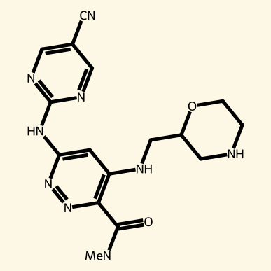 CNC(=O)c1nnc(Nc2ncc(C#N)cn2)cc1NCC1CNCCO1